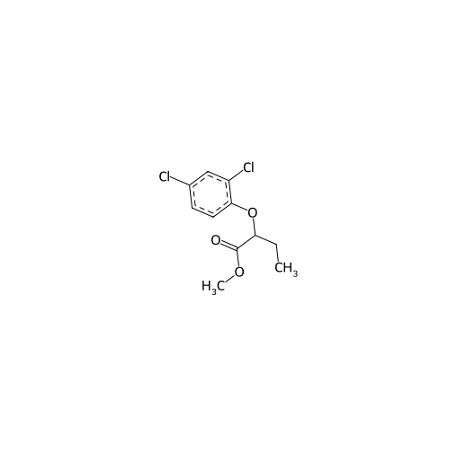 CCC(Oc1ccc(Cl)cc1Cl)C(=O)OC